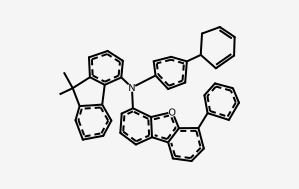 CC1(C)c2ccccc2-c2c(N(c3ccc(C4C=CC=CC4)cc3)c3cccc4c3oc3c(-c5ccccc5)cccc34)cccc21